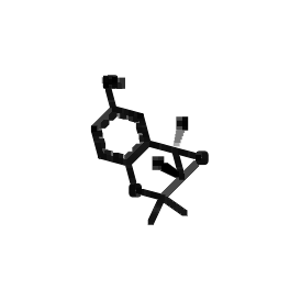 CC(C)(C)c1ccc2c(c1)[C@H]1O[C@@H]1C(C)(C)O2